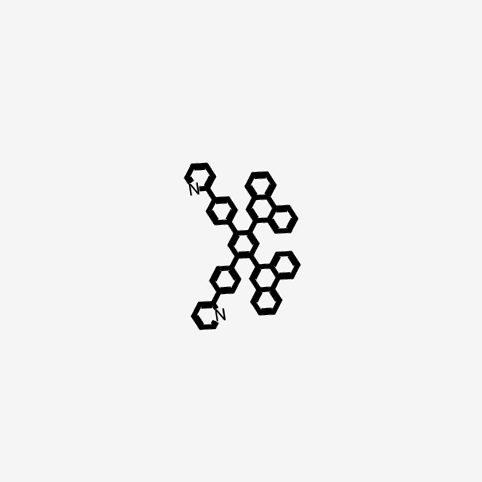 c1ccc(-c2ccc(-c3cc(-c4ccc(-c5ccccn5)cc4)c(-c4cc5ccccc5c5ccccc45)cc3-c3cc4ccccc4c4ccccc34)cc2)nc1